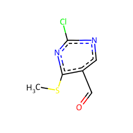 CSc1nc(Cl)ncc1C=O